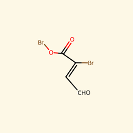 O=CC=C(Br)C(=O)OBr